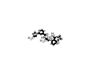 Cc1cn(-c2cc(C(=O)NC(C)(C)COc3cccc4c3C(N)=NS(=O)(=O)N4)ccn2)cn1